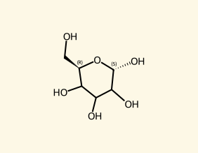 OC[C@H]1O[C@H](O)C(O)C(O)C1O